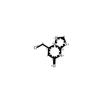 O=c1cc(CCl)n2ncsc2n1